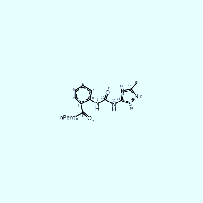 CCCCCC(=O)c1ccccc1NC(=O)Nc1nc(C)ns1